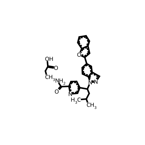 CC(C)CC(c1ccc(C(N)=O)nc1)n1ncc2cc(-c3cc4ccccc4o3)ccc21.CCC(=O)O